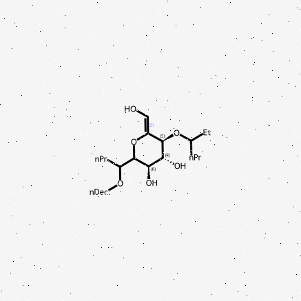 CCCCCCCCCCOC(CCC)C1O/C(=C\O)[C@@H](OC(CC)CCC)[C@H](O)[C@H]1O